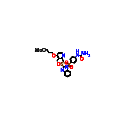 COCCCOc1ccnc(C[S+]([O-])c2nc3ccccc3n2S(=O)(=O)c2ccc(NC(N)=O)cc2)c1C